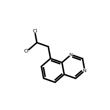 ClC(Cl)Cc1cccc2cncnc12